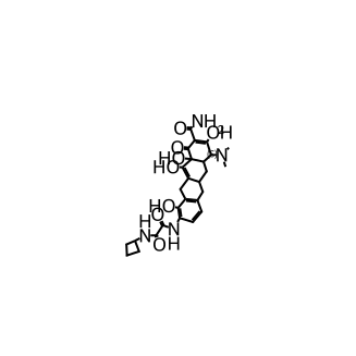 CN(C)[C@@H]1C(O)=C(C(N)=O)C(=O)C2(O)C(O)=C3Cc4c(ccc(NC(=O)C(=O)NC5CCC5)c4O)CC3CC12